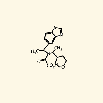 CC(c1ccc2scnc2c1)N(C(=O)C(=O)O)C(C)C1CCOCC1